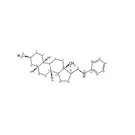 C[C@H]1CC[C@@H]2C3CC[C@]4(C)C(CNc5ccccc5)CCC4[C@@H]3CC[C@@H]2C1